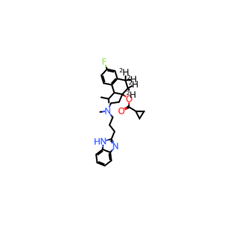 [2H]C1([2H])c2cc(F)ccc2C(C(C)C)C(CCN(C)CCCc2nc3ccccc3[nH]2)(OC(=O)C2CC2)C1([2H])[2H]